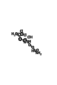 CN1Cc2c(Cl)cc(Cl)cc2[C@H](c2cccc(-c3cnc(NCCOCCOCCNC(N)=O)nc3)c2)C1.Cl